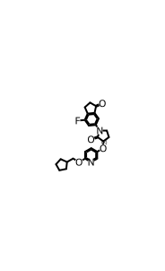 O=C1CCc2c(F)cc(N3CC[C@@H](Oc4ccc(OCC5CCCC5)nc4)C3=O)cc21